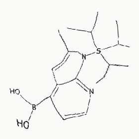 Cc1cc2c(B(O)O)ccnc2n1S(C(C)C)(C(C)C)C(C)C